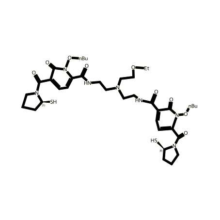 CCCCOn1c(C(=O)NCCN(CCNC(=O)c2ccc(C(=O)N3CCC[C@H]3S)n(OCCCC)c2=O)CCOCC)ccc(C(=O)N2CCC[C@@H]2S)c1=O